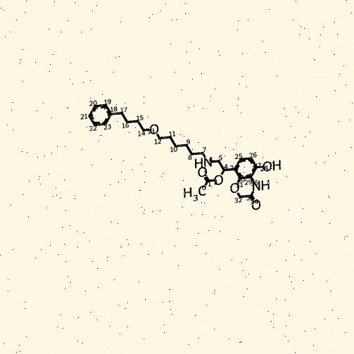 CC(=O)OC(CNCCCCCCOCCCCc1ccccc1)c1ccc(O)c2c1OCC(=O)N2